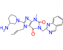 CC=CCn1c(N2CCCC(N)C2)nc2c1c(=O)n(Cc1ncc3ccccc3n1)c(=O)n2C